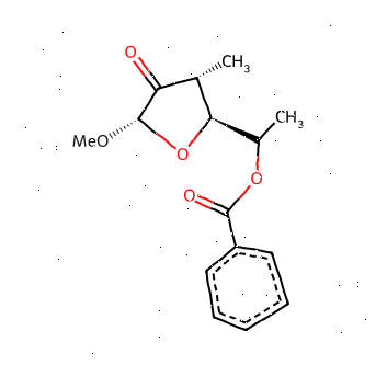 CO[C@H]1O[C@H](C(C)OC(=O)c2ccccc2)[C@@H](C)C1=O